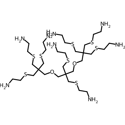 NCCSCC(COCC(CSCCN)(CSCCN)CSCCN)(COCC(CSCCN)(CSCCN)CSCCN)CSCCN